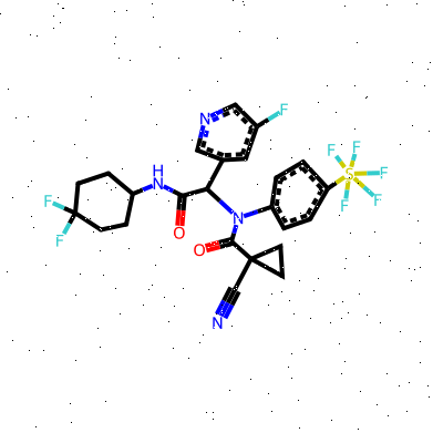 N#CC1(C(=O)N(c2ccc(S(F)(F)(F)(F)F)cc2)C(C(=O)NC2CCC(F)(F)CC2)c2cncc(F)c2)CC1